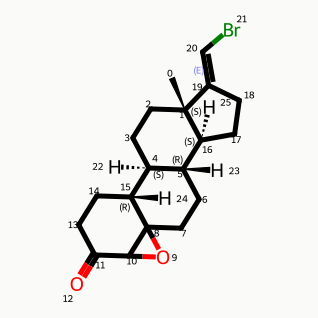 C[C@]12CC[C@H]3[C@@H](CCC45OC4C(=O)CC[C@H]35)[C@@H]1CC/C2=C\Br